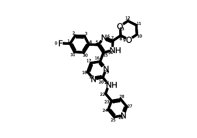 Fc1ccc(-c2nc(C3OCCCO3)[nH]c2-c2ccnc(NCc3ccncc3)n2)cc1